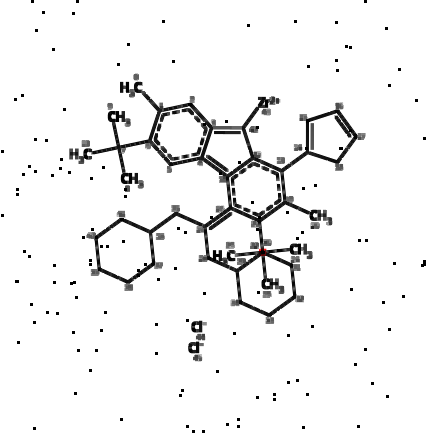 Cc1cc2c(cc1C(C)(C)C)=c1c(c(C3=CC=CC3)c(C)c(C(C)(C)C)c1=C(CC1CCCCC1)CC1CCCCC1)[C]=2[Zr+2].[Cl-].[Cl-]